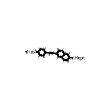 CCCCCCCc1ccc2cc(C#Cc3ccc(CCCCCC)cc3)ccc2c1